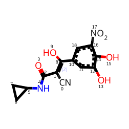 N#C/C(C(=O)NC1CC1)=C(/O)c1cc(O)c(O)c([N+](=O)[O-])c1